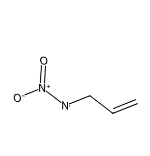 C=CC[N][N+](=O)[O-]